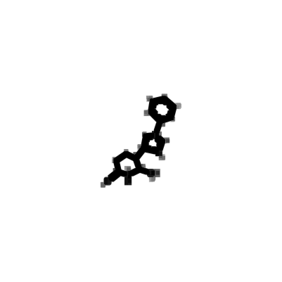 O=C1CCC(c2cn(-c3ccccc3)cn2)C(O)N1